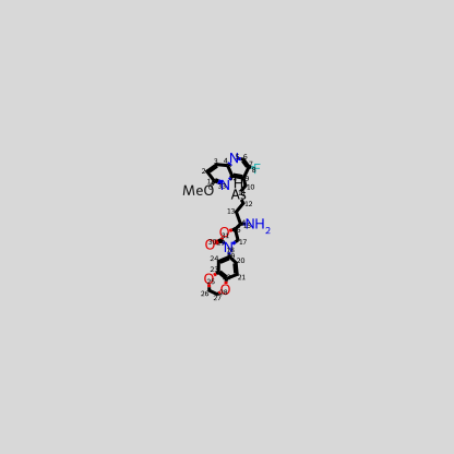 COc1ccc2ncc(F)c(C[AsH]CCC(N)C3CN(c4ccc5c(c4)OCCO5)C(=O)O3)c2n1